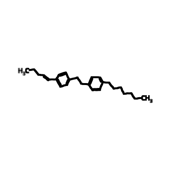 CCC/C=C/c1ccc(CCc2ccc(CCCCCCC)cc2)cc1